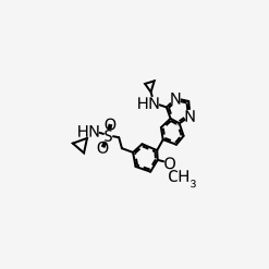 COc1ccc(CCS(=O)(=O)NC2CC2)cc1-c1ccc2ncnc(NC3CC3)c2c1